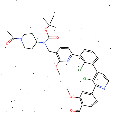 COc1cc(-c2nccc(-c3cccc(-c4ccc(CN(C(=O)OC(C)(C)C)C5CCN(C(C)=O)CC5)c(OC)n4)c3Cl)c2Cl)ccc1C=O